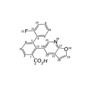 O=C(O)c1cccc(-c2ccccc2F)c1-c1cnc2occc2c1